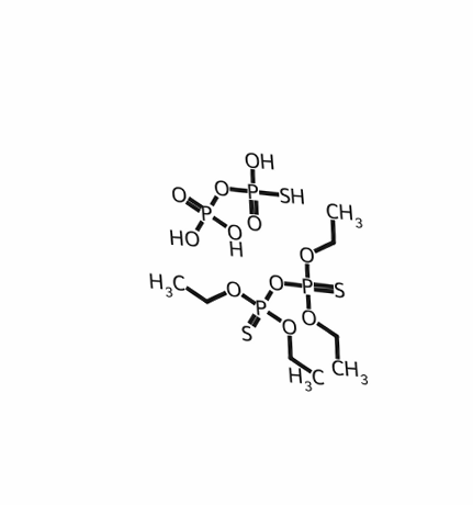 CCOP(=S)(OCC)OP(=S)(OCC)OCC.O=P(O)(O)OP(=O)(O)S